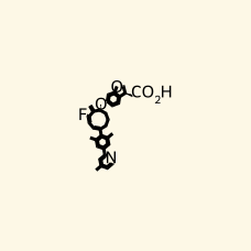 C=C1/C(F)=C\C=C(\c2c(C)cc(-c3cc(C)ccn3)cc2C)CCC[C@H]1Oc1ccc2c(c1)OC[C@H]2CC(=O)O